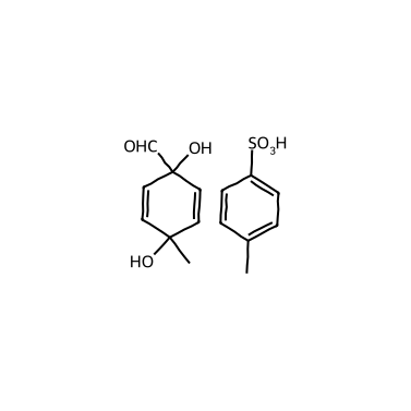 CC1(O)C=CC(O)(C=O)C=C1.Cc1ccc(S(=O)(=O)O)cc1